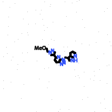 COCCn1cc(-c2ccc3nnn(Cc4c[nH]c5ncccc45)c3n2)cn1